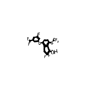 O[C@@H]1c2c(SC(F)(F)F)ccc(Oc3cc(F)cc(C(F)F)c3)c2CC1(F)F